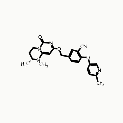 C[C@@H]1CCn2c(cc(OCc3ccc(Oc4ccc(C(F)(F)F)nc4)c(C#N)c3)nc2=O)N1C